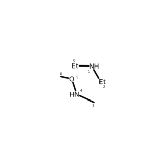 CCNCC.CNOC